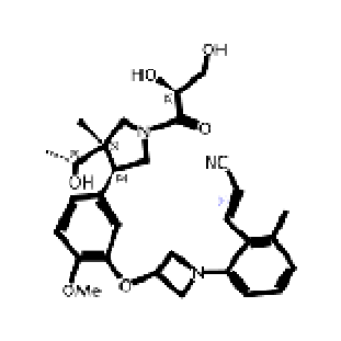 COc1ccc([C@@H]2CN(C(=O)[C@@H](O)CO)C[C@@]2(C)[C@@H](C)O)cc1OC1CN(c2cccc(C)c2/C=C/C#N)C1